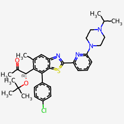 CC(=O)[C@@H](OC(C)(C)C)c1c(C)cc2nc(-c3cccc(N4CCN(C(C)C)CC4)n3)sc2c1-c1ccc(Cl)cc1